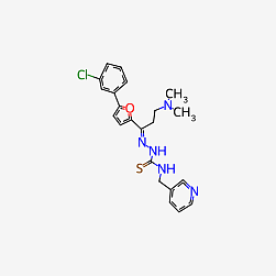 CN(C)CC/C(=N\NC(=S)NCc1cccnc1)c1ccc(-c2cccc(Cl)c2)o1